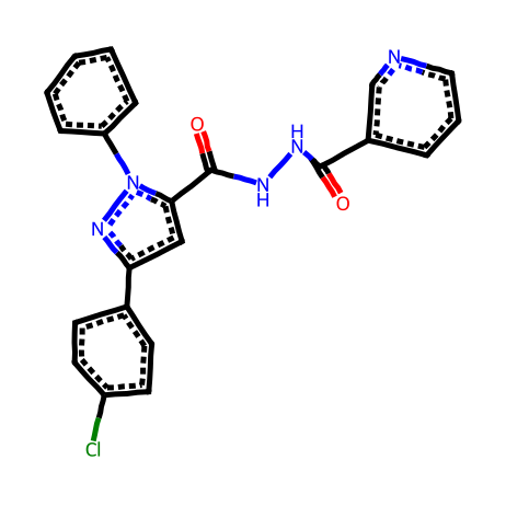 O=C(NNC(=O)c1cc(-c2ccc(Cl)cc2)nn1-c1ccccc1)c1cccnc1